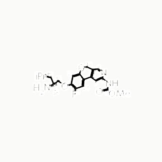 COC(=O)Nc1cc2c(cn1)COc1cc(OC[C@@](C)(N)CC(C)C)c(F)cc1-2